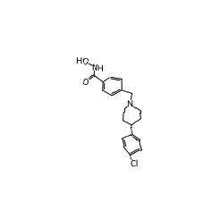 O=C(NO)c1ccc(CN2CCC(c3ccc(Cl)cc3)CC2)cc1